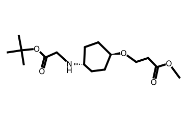 COC(=O)CCO[C@H]1CC[C@H](NCC(=O)OC(C)(C)C)CC1